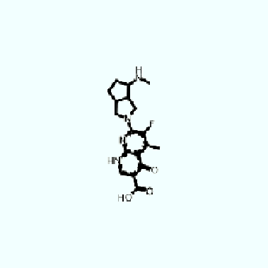 CNC1CCC2CN(c3nc4[nH]cc(C(=O)O)c(=O)c4c(C)c3F)CC21